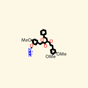 COc1ccc(/C=C/C(=O)C(CC(=O)c2ccccc2)C(=O)/C=C/c2ccc(OC)c(OCN=[N+]=[N-])c2)cc1OC